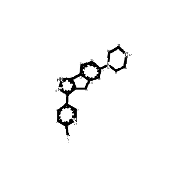 Clc1ccc(-c2n[nH]c3c2Cc2cc(N4CCOCC4)ccc2-3)cn1